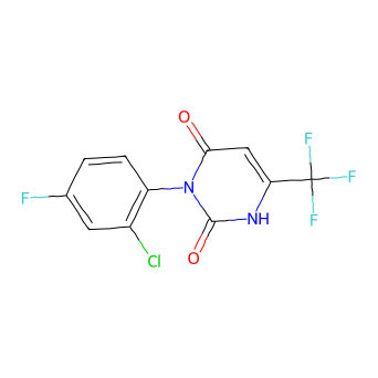 O=c1cc(C(F)(F)F)[nH]c(=O)n1-c1ccc(F)cc1Cl